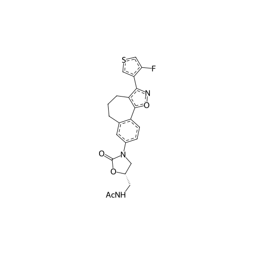 CC(=O)NC[C@H]1CN(c2ccc3c(c2)CCCc2c(-c4cscc4F)noc2-3)C(=O)O1